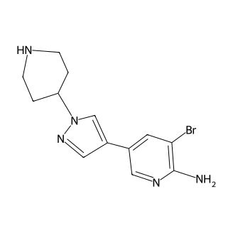 Nc1ncc(-c2cnn(C3CCNCC3)c2)cc1Br